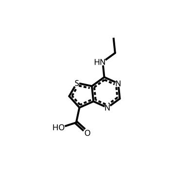 CCNc1ncnc2c(C(=O)O)csc12